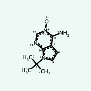 CC(C)(C)n1ccc2c(N)[n+]([O-])cnc21